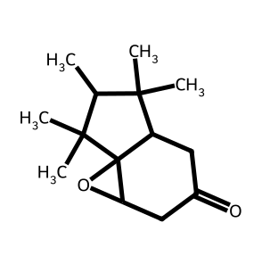 CC1C(C)(C)C2CC(=O)CC3OC32C1(C)C